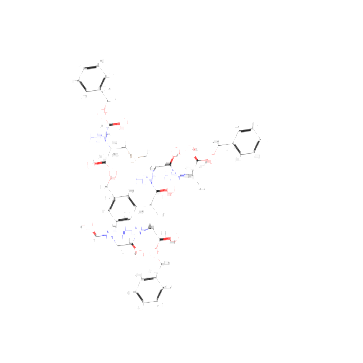 C[C@H](NC=O)C(=O)N[C@H](CCC(=O)N[C@H](CSC[C@H](NC(=O)OCc1ccccc1)C(=O)OCc1ccccc1)C(=O)N[C@H](C)C(=O)OCc1ccccc1)C(=O)OCc1ccccc1